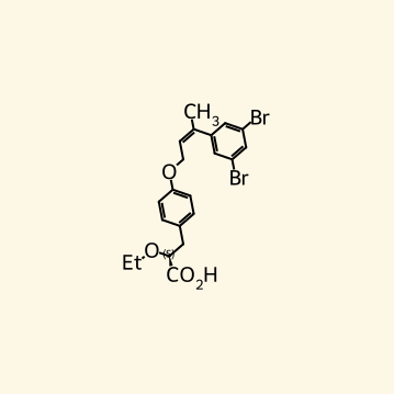 CCO[C@@H](Cc1ccc(OCC=C(C)c2cc(Br)cc(Br)c2)cc1)C(=O)O